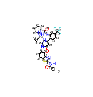 CC(=O)Nc1nc2c(Oc3cc(-c4ccc(C(F)(F)F)cc4NC(=O)[C@H]4CCCCN4CC4CC4)ncn3)cccc2s1